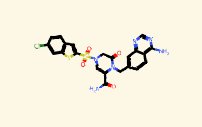 NC(=O)C1CN(S(=O)(=O)c2cc3ccc(Cl)cc3s2)CC(=O)N1Cc1ccc2c(N)ncnc2c1